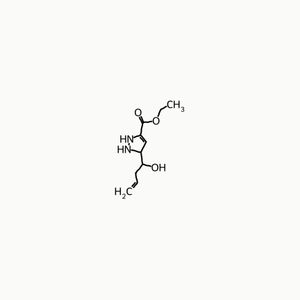 C=CCC(O)C1C=C(C(=O)OCC)NN1